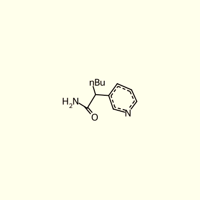 CCCCC(C(N)=O)c1cccnc1